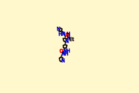 CCNc1nc(-c2ccc(NC(=O)NCc3cccnc3)cc2)ccc1C(=O)NCc1ccncc1